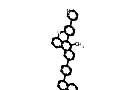 Cc1c2c3c(cccc3c3cc(-c4ccc(-c5cccc6ccccc56)cc4)ccc13)Oc1cc(-c3cccnc3)ccc1-2